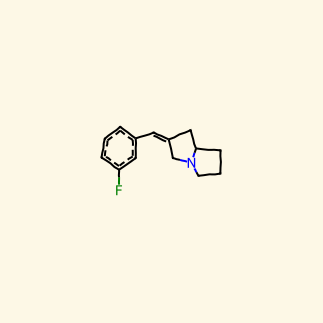 Fc1cccc(/C=C2/CC3CCCN3C2)c1